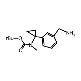 CN(C(=O)OC(C)(C)C)C1(c2cccc(CN)c2)CC1